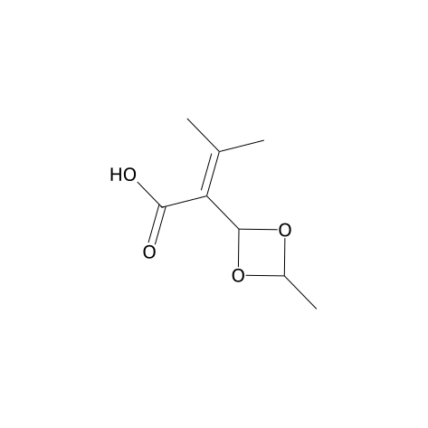 CC(C)=C(C(=O)O)C1OC(C)O1